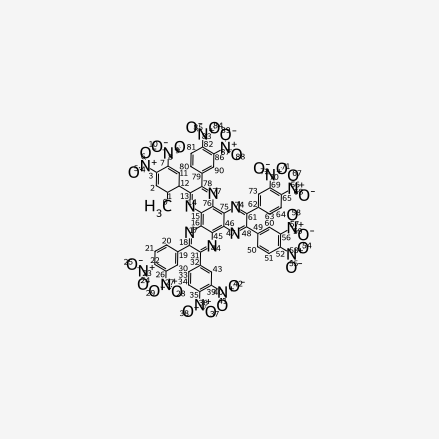 CC1C=C([N+](=O)[O-])C([N+](=O)[O-])=CC1c1nc2c3nc(-c4ccc([N+](=O)[O-])c([N+](=O)[O-])c4)c(-c4ccc([N+](=O)[O-])c([N+](=O)[O-])c4)nc3c3nc(-c4ccc([N+](=O)[O-])c([N+](=O)[O-])c4)c(-c4ccc([N+](=O)[O-])c([N+](=O)[O-])c4)nc3c2nc1-c1ccc([N+](=O)[O-])c([N+](=O)[O-])c1